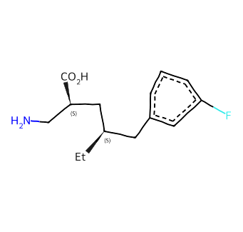 CC[C@H](Cc1cccc(F)c1)C[C@@H](CN)C(=O)O